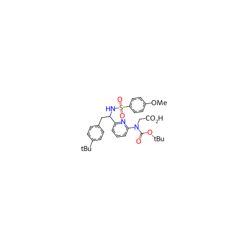 COc1ccc(S(=O)(=O)NC(Cc2ccc(C(C)(C)C)cc2)c2cccc(N(CC(=O)O)C(=O)OC(C)(C)C)n2)cc1